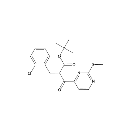 CSc1nccc(C(=O)C(Cc2ccccc2Cl)C(=O)OC(C)(C)C)n1